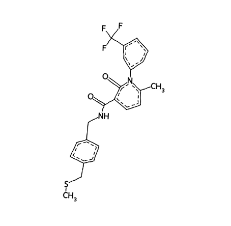 CSCc1ccc(CNC(=O)c2ccc(C)n(-c3cccc(C(F)(F)F)c3)c2=O)cc1